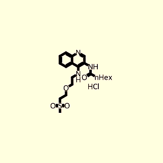 CCCCCCC(=O)Nc1cnc2ccccc2c1NCCOCCS(C)(=O)=O.Cl